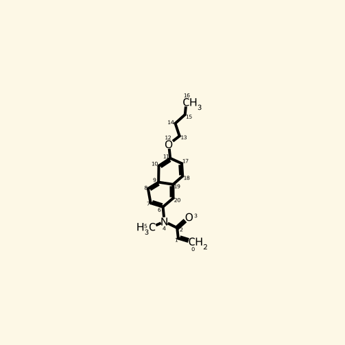 C=CC(=O)N(C)c1ccc2cc(OCCCC)ccc2c1